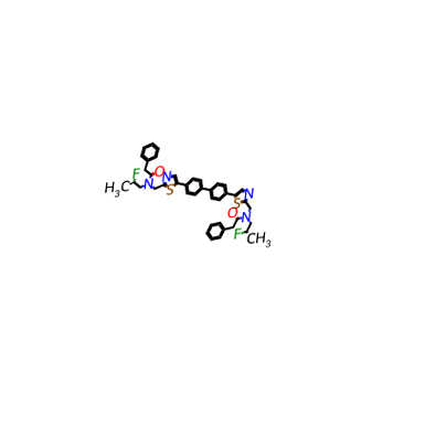 C[C@@H](F)CN(Cc1ncc(-c2ccc(-c3ccc(-c4cnc(CN(C[C@@H](C)F)C(=O)Cc5ccccc5)s4)cc3)cc2)s1)C(=O)Cc1ccccc1